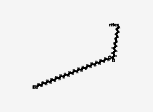 CCCCCCC=CCCCCCCCCCCCC(=O)OCCCCCCCCCCCCCCCCCCCCCCCCCCCCCCCCC(C)CC